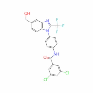 O=C(Nc1ccc(-n2c(C(F)(F)F)nc3cc(CO)ccc32)cc1)c1cc(Cl)cc(Cl)c1